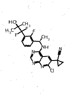 C[C@@H](Nc1ncnc2nc(Cl)c(C3(C#N)CC3)cc12)c1cccc(C(F)(F)C(C)(C)O)c1F